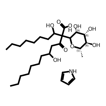 CCCCCCCC(O)CC(=O)C(C(=O)O)(C(O)CCCCCCC)C1O[C@@H](C)[C@H](O)[C@@H](O)[C@H]1O.c1cc[nH]c1